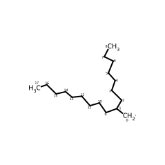 [CH2]C(CCCCCCC)CCCCCCCCC